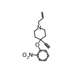 C#CC1(Oc2ccccc2[N+](=O)[O-])CCN(CC=C)CC1